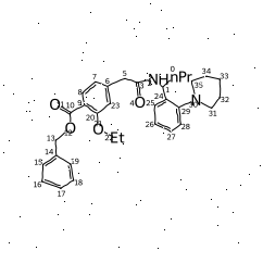 CCCC(NC(=O)Cc1ccc(C(=O)OCc2ccccc2)c(OCC)c1)c1ccccc1N1CCCCC1